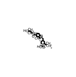 Cc1c(C(=O)NCCC(C)(C)O)ccc2nn(CC3CCN(C(=O)O)C(C(C)(C)C)C3)cc12